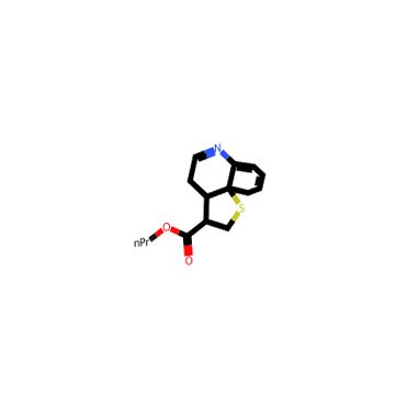 CCCOC(=O)C1CSC23CC=CC=C2N=CCC13